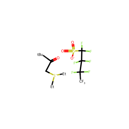 CC[S+](CC)CC(=O)C(C)(C)C.O=S(=O)([O-])C(F)(F)C(F)(F)C(F)(F)C(F)(F)F